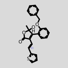 CC1(O)OC(=O)C(/C=C/c2cccs2)=C1c1ccccc1OCc1ccccc1